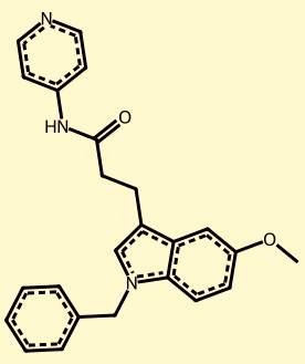 COc1ccc2c(c1)c(CCC(=O)Nc1ccncc1)cn2Cc1ccccc1